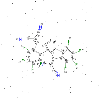 N#CC(C#N)=C1c2c(ccc3c2-c2c(F)c(F)c(F)c(F)c2C3=C(C#N)C#N)-c2c(F)c(F)c(F)c(F)c21